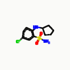 NS(=O)(=O)c1cc(Cl)ccc1NC1CCCC1